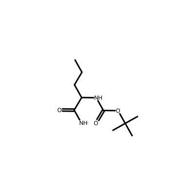 CCCC(NC(=O)OC(C)(C)C)C([NH])=O